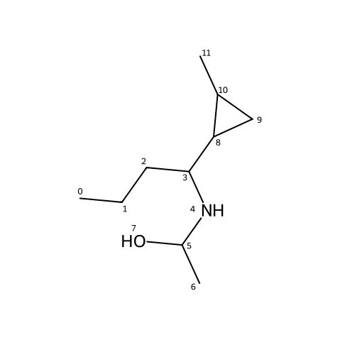 CCCC(NC(C)O)C1CC1C